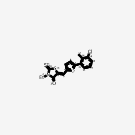 CCN1C(=O)/C(=C/c2ccc(-c3cccc(Cl)c3C)o2)SC1=S